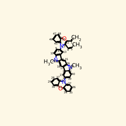 C=CC1=C(/C=C\C)N(c2ccc3c(c2)c2cc4c(cc2n3C)c2cc(N3c5ccccc5Oc5ccccc53)ccc2n4C)c2ccccc2O1